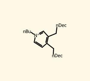 CCCCCCCCCCCc1cc[n+](CCCC)cc1CCCCCCCCCCC